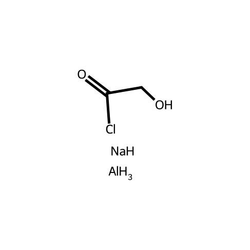 O=C(Cl)CO.[AlH3].[NaH]